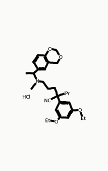 CCOc1cc(OCC)cc(C(C#N)(CCCN(C)C(C)c2ccc3c(c2)COCO3)C(C)C)c1.Cl